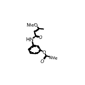 CNC(=O)Oc1cccc(NC(=O)C=C(C)OC)c1